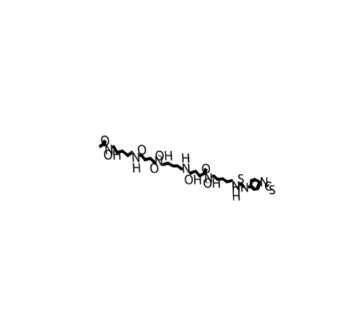 CC(=O)N(O)CCCCCNC(=O)CCC(=O)N(O)CCCCCNC(O)CCC(=O)N(O)CCCCCNC(=S)Nc1ccc(N=C=S)cc1